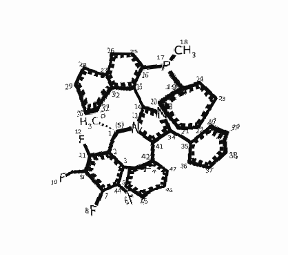 C[C@@H](c1c(F)c(F)c(F)c(F)c1F)n1c(-c2c(P(C)c3ccccc3)ccc3ccccc23)nc(-c2ccccc2)c1-c1ccccc1